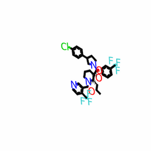 CCC[C@H]1N(C(=O)c2cnccc2C(F)(F)F)CCC[C@@]1(Oc1ccc(C(F)(F)F)cc1)C(=O)N1CCC(c2ccc(Cl)cc2)C1